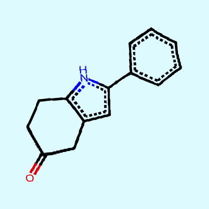 O=C1CCc2[nH]c(-c3ccccc3)cc2C1